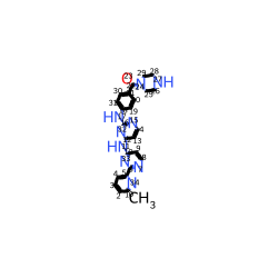 Cc1cccc(-c2nccc(Nc3ccnc(Nc4ccc(C(=O)N5CCNCC5)cc4)n3)n2)n1